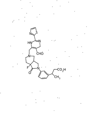 CC(CC(=O)O)c1cccc(N2CC3CN(CC4=C(C=O)CN=C(c5nccs5)N4)CCC3(F)C2=O)c1